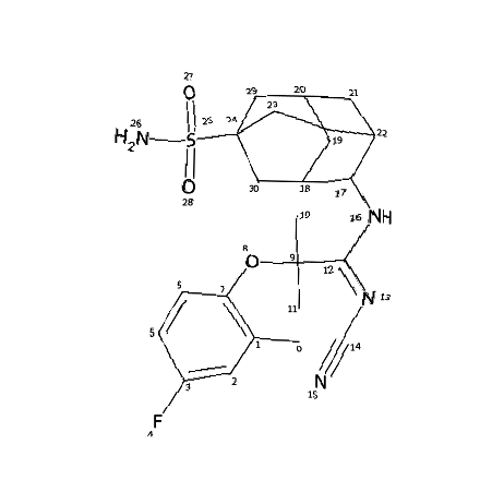 Cc1cc(F)ccc1OC(C)(C)/C(=N\C#N)NC1C2CC3CC1CC(S(N)(=O)=O)(C3)C2